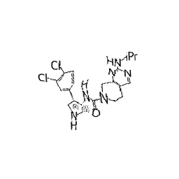 CC(C)Nc1ncc2c(n1)CN(C(=O)N[C@@H]1CNC[C@H]1c1ccc(Cl)c(Cl)c1)CC2